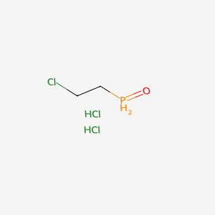 Cl.Cl.O=[PH2]CCCl